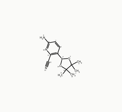 CC1(C)OB(c2ccc(N)nc2C#N)OC1(C)C